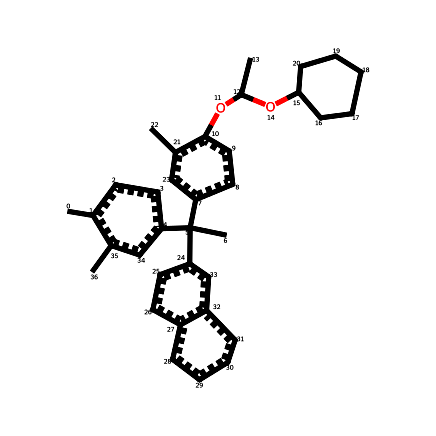 Cc1ccc(C(C)(c2ccc(OC(C)OC3CCCCC3)c(C)c2)c2ccc3ccccc3c2)cc1C